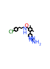 Cc1cc(C)c(-c2ccn3nc(N)nc3c2)cc1C(=O)NCCCc1ccc(Cl)cc1